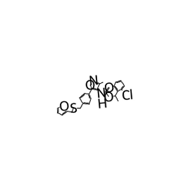 Cc1noc(-c2ccc(CSCc3ccco3)cc2)c1NC(=O)OC(C)c1ccccc1Cl